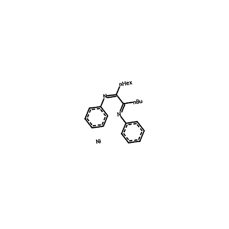 CCCCCCC(=Nc1ccccc1)C(CCCC)=Nc1ccccc1.[Ni]